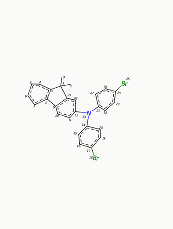 CC1(C)c2ccccc2-c2ccc(N(c3ccc(Br)cc3)c3ccc(Br)cc3)cc21